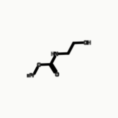 [CH2]CCOC(=O)NCCO